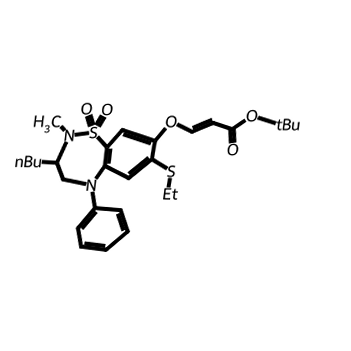 CCCCC1CN(c2ccccc2)c2cc(SCC)c(O/C=C/C(=O)OC(C)(C)C)cc2S(=O)(=O)N1C